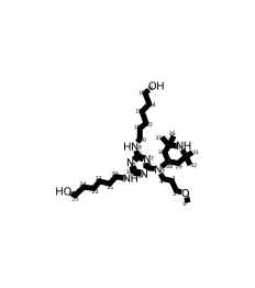 COCCCN(c1nc(NCCCCCCO)nc(NCCCCCCO)n1)C1CC(C)(C)NC(C)(C)C1